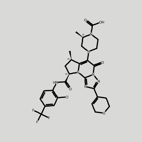 C[C@@H]1C[C@H](C(=O)Nc2ccc(C(F)(F)F)cc2Cl)n2c1c(N1CCN(C(=O)O)[C@H](C)C1)c(=O)n1nc(C3=CCOCC3)nc21